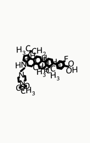 C=C(C)[C@@H]1CC[C@]2(NCCN3CCN(S(C)(=O)=O)CC3)CC[C@]3(C)[C@H](CC[C@@H]4[C@@]5(C)CC=C(c6ccc(C(=O)O)c(F)c6)C(C)(C)[C@@H]5CC[C@]43C)[C@@H]12